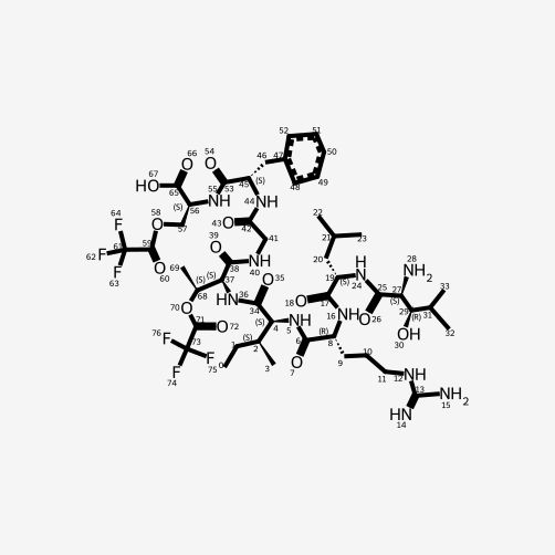 CC[C@H](C)[C@H](NC(=O)[C@@H](CCCNC(=N)N)NC(=O)[C@H](CC(C)C)NC(=O)[C@@H](N)[C@H](O)C(C)C)C(=O)N[C@H](C(=O)NCC(=O)N[C@@H](Cc1ccccc1)C(=O)N[C@@H](COC(=O)C(F)(F)F)C(=O)O)[C@H](C)OC(=O)C(F)(F)F